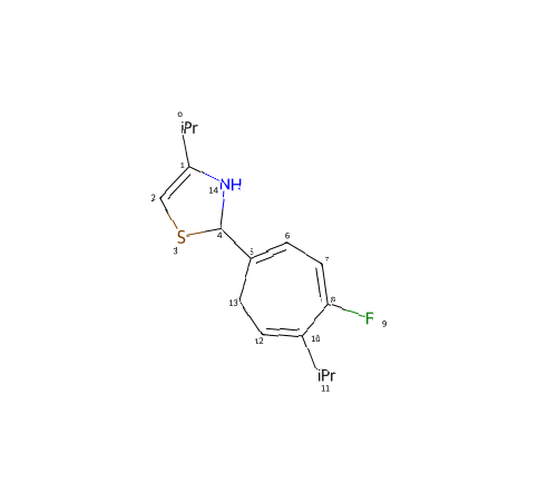 CC(C)C1=CSC(C2=CC=C(F)C(C(C)C)=CC2)N1